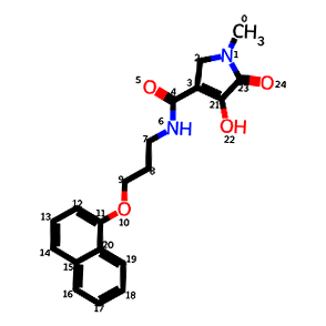 CN1CC(C(=O)NCCCOc2cccc3ccccc23)=C(O)C1=O